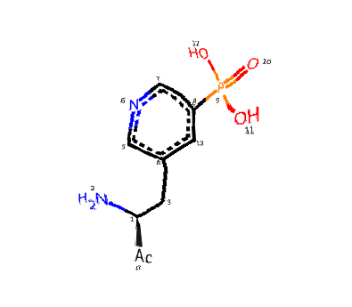 CC(=O)[C@@H](N)Cc1cncc(P(=O)(O)O)c1